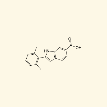 Cc1cccc(C)c1-c1cc2ccc(C(=O)O)cc2[nH]1